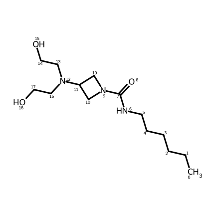 CCCCCCNC(=O)N1CC(N(CCO)CCO)C1